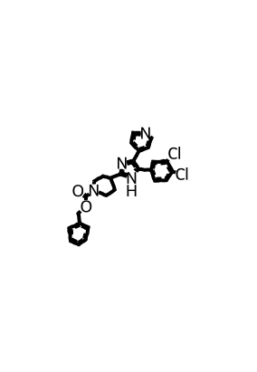 O=C(OCc1ccccc1)N1CCC(c2nc(-c3ccncc3)c(-c3ccc(Cl)c(Cl)c3)[nH]2)CC1